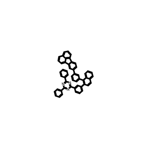 c1ccc(-c2nc(-c3ccccc3)nc(-c3cccc(-c4ccc5ccccc5c4-c4cccc(-c5ccc6c(c5)-c5cccc7cccc-6c57)c4)c3)n2)cc1